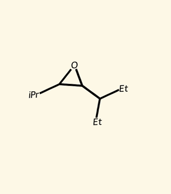 CCC(CC)C1OC1C(C)C